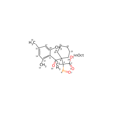 CCCCCCCCOC(=O)C(C)(P=O)C1(C(=O)c2c(C)cc(C)cc2C)CCCCC1